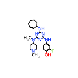 CN1CCC(N(C)c2nc(Nc3ccc(O)c(F)c3)nc(NC3C=CCCCC3)n2)CC1